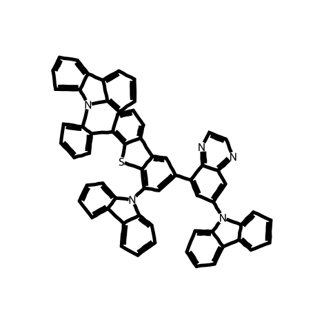 c1ccc(-n2c3ccccc3c3ccccc32)c(-c2cccc3c2sc2c(-n4c5ccccc5c5ccccc54)cc(-c4cc(-n5c6ccccc6c6ccccc65)cc5nccnc45)cc23)c1